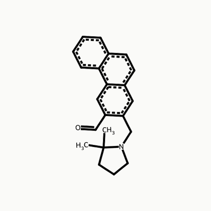 CC1(C)CCCN1Cc1cc2ccc3ccccc3c2cc1C=O